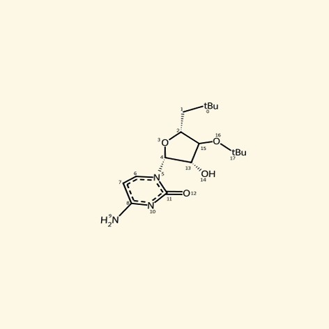 CC(C)(C)C[C@H]1O[C@@H](n2ccc(N)nc2=O)[C@@H](O)C1OC(C)(C)C